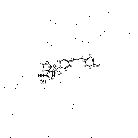 O=C(NO)C1(NS(=O)(=O)c2ccc(OCCc3ccc(F)cc3)cc2)CCOC1